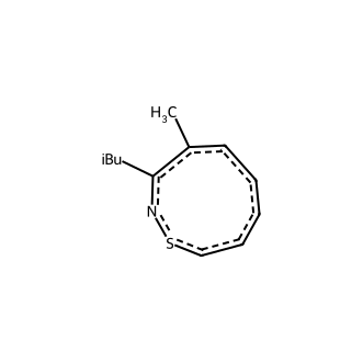 CCC(C)c1nscccccc1C